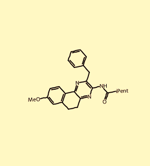 CCCC(C)C(=O)Nc1nc2c(nc1Cc1ccccc1)-c1ccc(OC)cc1CC2